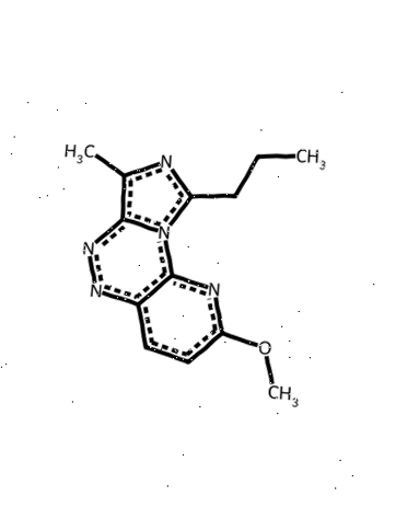 CCCc1nc(C)c2nnc3ccc(OC)nc3n12